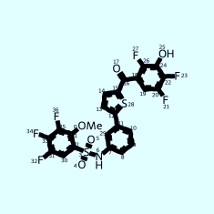 COc1c(S(=O)(=O)Nc2cccc(-c3ccc(C(=O)c4cc(F)c(F)c(O)c4F)s3)c2)cc(F)c(F)c1F